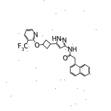 O=C(Cc1cccc2ccccc12)Nc1cc(C2CC(Oc3ncccc3C(F)(F)F)C2)[nH]n1